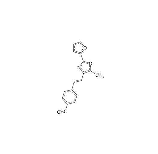 Cc1oc(-c2ccco2)nc1C=Cc1ccc(C=O)cc1